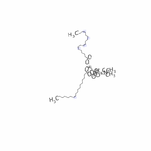 CC/C=C\C/C=C\C/C=C\C/C=C\CCCCC(=O)OC[C@H](COP(=O)([O-])OCC[N+](C)(C)C)OC(=O)CCCCCCCCC/C=C\CCCCCC